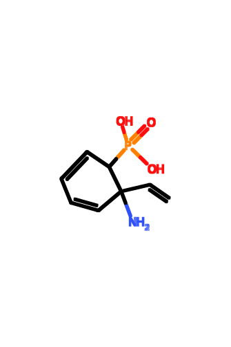 C=CC1(N)C=CC=CC1P(=O)(O)O